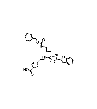 O=C(NCCC[C@H](NC(=O)c1cc2ccccc2o1)C(=O)NCCc1ccc(C(=O)O)cc1)OCc1ccccc1